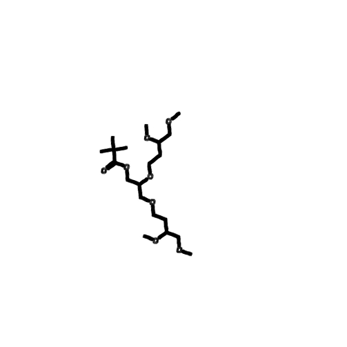 COCC(CCOCC(COC(=O)C(C)(C)C)OCCC(COC)OC)OC